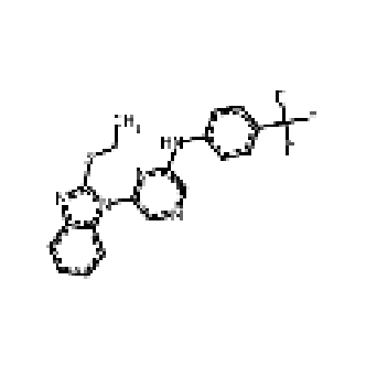 CCSc1nc2ccccc2n1-c1cncc(Nc2ccc(C(F)(F)F)cc2)n1